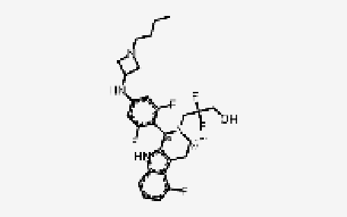 CCCCN1CC(Nc2cc(F)c([C@@H]3c4[nH]c5cccc(F)c5c4C[C@@H](C)N3CC(F)(F)CO)c(F)c2)C1